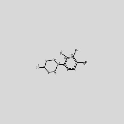 CCCc1ccc(B2OCC(CC)CO2)c(F)c1F